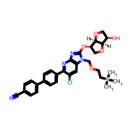 C[Si](C)(C)CCOCn1c(O[C@@H]2CO[C@H]3[C@@H]2OC[C@H]3O)nc2nc(-c3ccc(-c4ccc(C#N)cc4)cc3)c(Cl)cc21